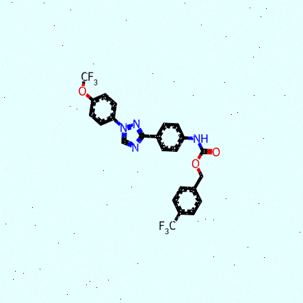 O=C(Nc1ccc(-c2ncn(-c3ccc(OC(F)(F)F)cc3)n2)cc1)OCc1ccc(C(F)(F)F)cc1